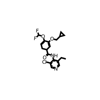 CCc1cncc(Cl)c1NC(=O)C1C=C(OCC2CC2)C(OC(F)F)=CC1